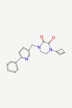 O=C1C(=O)N(C23CC(C2)C3)CCN1Cc1ccc(-c2ccccc2)nc1